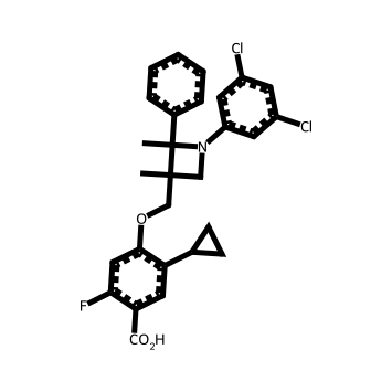 CC1(COc2cc(F)c(C(=O)O)cc2C2CC2)CN(c2cc(Cl)cc(Cl)c2)C1(C)c1ccccc1